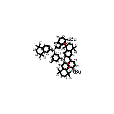 Cc1cc(N(c2ccc3c(c2)C(C)(C)CCC3(C)C)c2cc3cc(C(C)(C)C)ccc3s2)cc(N(c2ccc3c(c2)C(C)(C)CCC3(C)C)c2cc3c(cc2-c2ccc(C(C)(C)C)cc2)C(C)(C)CCC3(C)C)c1